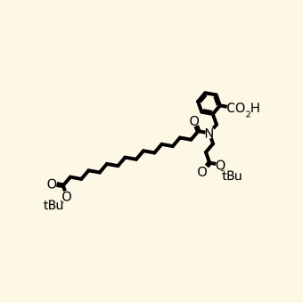 CC(C)(C)OC(=O)CCCCCCCCCCCCCCC(=O)N(CCC(=O)OC(C)(C)C)Cc1ccccc1C(=O)O